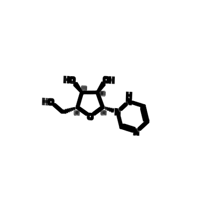 OC[C@H]1O[C@@H](N2C=NC=CN2)[C@H](O)[C@@H]1O